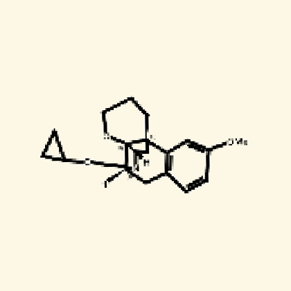 COc1ccc2c(c1)[C@@]13CCCO[C@H]1[C@@H](C2)N(CC1CC1)CC3